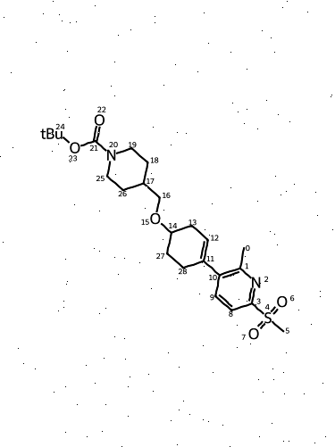 Cc1nc(S(C)(=O)=O)ccc1C1=CCC(OCC2CCN(C(=O)OC(C)(C)C)CC2)CC1